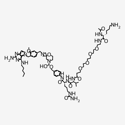 CCCCCNc1nc(N)nc2ccn(Cc3ccc(CN4CC5(C4)CN(C(O)OCc4ccc(NC(=O)[C@H](CCCNC(N)=O)NC(=O)[C@@H](NC(=O)CCOCCOCCOCCOCCNC(=O)[C@@H](CCCCN)NC(C)=O)C(C)C)cc4)CCO5)cc3OC)c12